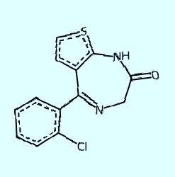 O=C1CN=C(c2ccccc2Cl)c2ccsc2N1